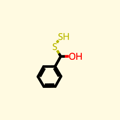 OC(SS)c1ccccc1